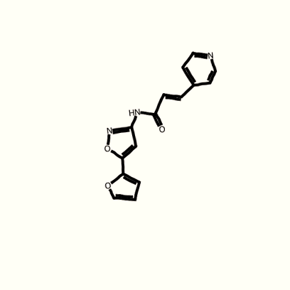 O=C(/C=C/c1ccncc1)Nc1cc(-c2ccco2)on1